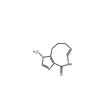 Cn1cnc2c1CCC/C=C/NC2=O